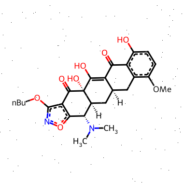 CCCCOc1noc2c1C(=O)[C@@]1(O)C(O)=C3C(=O)c4c(O)ccc(OC)c4C[C@H]3C[C@H]1[C@@H]2N(C)C